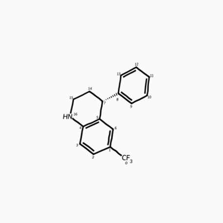 FC(F)(F)c1ccc2c(c1)[C@@H](c1ccccc1)CCN2